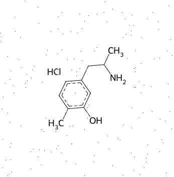 Cc1ccc(CC(C)N)cc1O.Cl